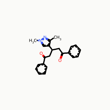 Cc1nn(C)cc1C(CC(=O)c1ccccc1)CC(=O)c1ccccc1